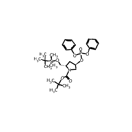 CC(C)(C)OC(=O)N1C[C@H](OP(=O)(Oc2ccccc2)Oc2ccccc2)C[C@H]1CO[Si](C)(C)C(C)(C)C